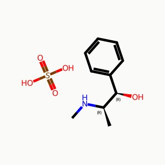 CN[C@H](C)[C@H](O)c1ccccc1.O=S(=O)(O)O